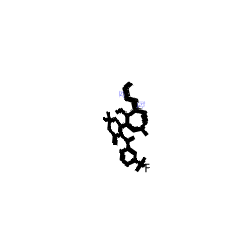 C=C1CC(C)(C)CC(C2=C=C(C)C=C/C(=C/C=C\C)C2CC)=C1C(C)c1cccc(C(C)(C)F)c1